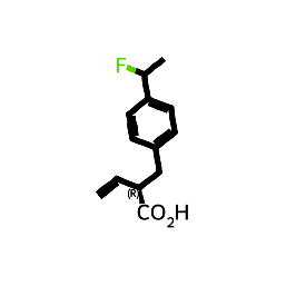 C=C[C@@H](Cc1ccc(C(C)F)cc1)C(=O)O